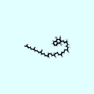 CC(C)=CCC/C(C)=C/CC/C(C)=C/CC/C(C)=C/CC/C(C)=C/CC/C(C)=C/CCC(C)CCC/C(C)=C/CC1=C(C)C(=O)c2ccccc2C1=O